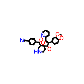 N#Cc1ccc(C(=O)C2CNCCC23OC(c2ccccn2)=C(c2ccc4c(c2)OCO4)C3=O)cc1